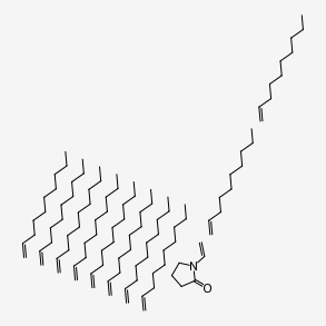 C=CCCCCCCCC.C=CCCCCCCCC.C=CCCCCCCCC.C=CCCCCCCCC.C=CCCCCCCCC.C=CCCCCCCCC.C=CCCCCCCCC.C=CCCCCCCCC.C=CCCCCCCCC.C=CCCCCCCCC.C=CN1CCCC1=O